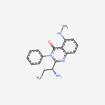 CC[C@H](N)c1nc2cccc(NC)c2c(=O)n1-c1ccccc1